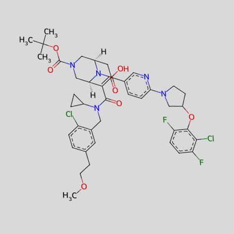 COCCc1ccc(Cl)c(CN(C(=O)C2=C(c3ccc(N4CCC(Oc5c(F)ccc(F)c5Cl)C4)nc3)C[C@@H]3CN(C(=O)OC(C)(C)C)C[C@H]2N3C(=O)O)C2CC2)c1